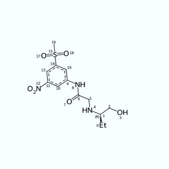 CC[C@H](CO)NCC(=O)Nc1cc([N+](=O)[O-])cc(S(C)(=O)=O)c1